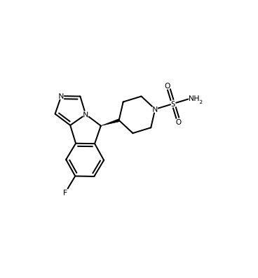 NS(=O)(=O)N1CCC([C@H]2c3ccc(F)cc3-c3cncn32)CC1